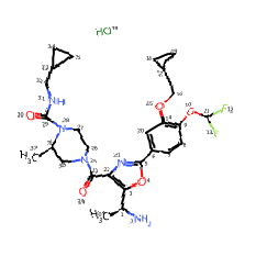 C[C@H](N)c1oc(-c2ccc(OC(F)F)c(OCC3CC3)c2)nc1C(=O)N1CCN(C(=O)NCC2CC2)[C@H](C)C1.Cl